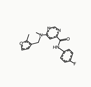 Cc1occc1CN(C)c1cc(C(=O)Nc2ccc(F)cc2)ncn1